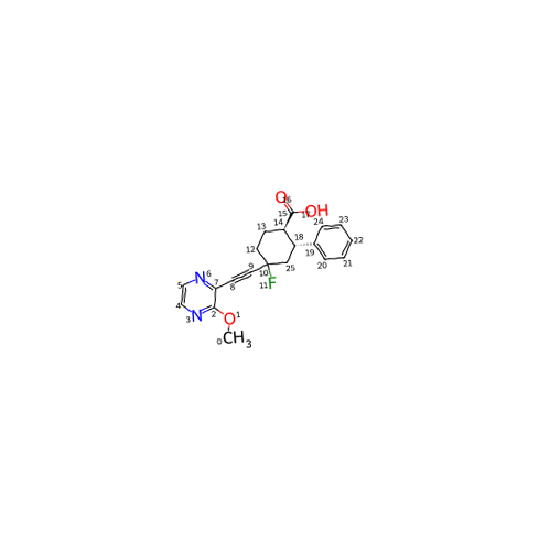 COc1nccnc1C#CC1(F)CC[C@@H](C(=O)O)[C@H](c2ccccc2)C1